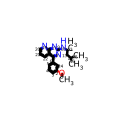 COc1cccc(-c2nc(NC(C)CC(C)C)nc3ncccc23)c1